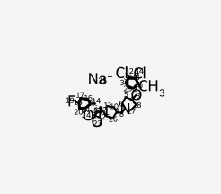 Cc1c(OC2CCN(CC3CCN([C@@H](Cc4ccc(F)cc4)C(=O)[O-])CC3)CC2)ccc(Cl)c1Cl.[Na+]